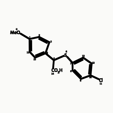 COc1ccc(C(Sc2ccc(Cl)cc2)C(=O)O)cc1